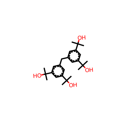 CC(C)(O)c1cc(Cc2cc(C(C)(C)O)cc(C(C)(C)O)c2)cc(C(C)(C)O)c1